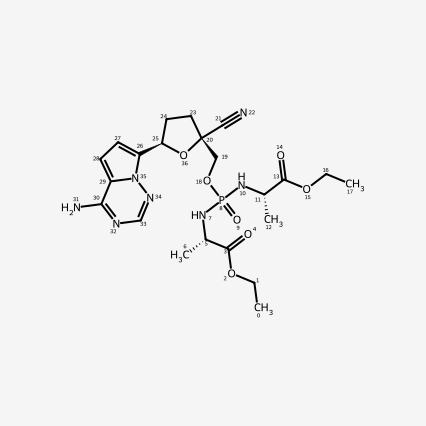 CCOC(=O)[C@H](C)NP(=O)(N[C@@H](C)C(=O)OCC)OC[C@]1(C#N)CC[C@H](c2ccc3c(N)ncnn23)O1